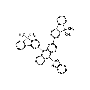 CC1(C)c2ccccc2-c2cc(-c3c4ccccc4c(-c4nc5ccccc5s4)c4ccc(-c5ccc6c(c5)C(C)(C)c5ccccc5-6)cc34)ccc21